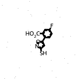 O=C(O)c1cc(F)ccc1-c1cc(S)no1